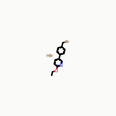 Br.CCOc1ccc(-c2ccc(CBr)cc2)cn1